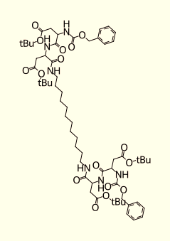 CC(C)(C)OC(=O)CC(NC(=O)OCc1ccccc1)C(=O)NC(CC(=O)OC(C)(C)C)C(=O)NCCCCCCCCCCCCNC(=O)C(CC(=O)OC(C)(C)C)NC(=O)C(CC(=O)OC(C)(C)C)NC(=O)OCc1ccccc1